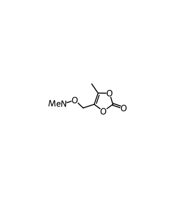 CNOCc1oc(=O)oc1C